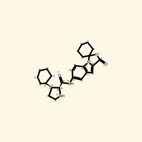 O=C1OC2(CCCCC2)n2c1cc1cc(NC(=O)[C@H]3NCC[C@H]3C3CCCCC3)ccc12